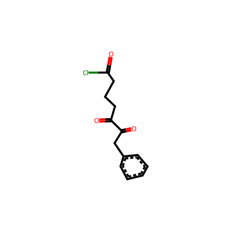 O=C(Cl)CCCC(=O)C(=O)Cc1ccccc1